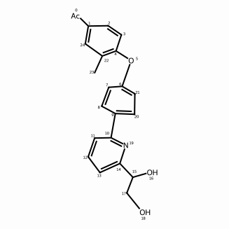 CC(=O)c1ccc(Oc2ccc(-c3cccc(C(O)CO)n3)cc2)c(C)c1